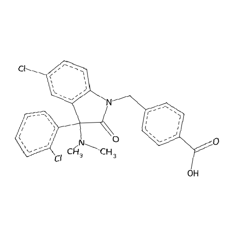 CN(C)C1(c2ccccc2Cl)C(=O)N(Cc2ccc(C(=O)O)cc2)c2ccc(Cl)cc21